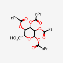 CCCC(=O)O[C@H]1O[C@H](C(=O)O)[C@@H](OC(=O)CCC)[C@H](OC(=O)CCC)[C@H]1OC(=O)CC